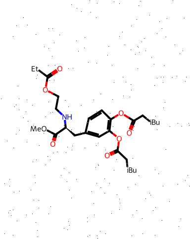 CCC(=O)OCCN[C@@H](Cc1ccc(OC(=O)CC(C)CC)c(OC(=O)CC(C)CC)c1)C(=O)OC